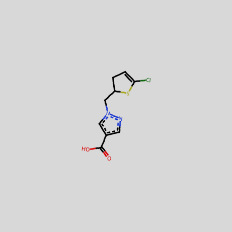 O=C(O)c1cnn(CC2CC=C(Cl)S2)c1